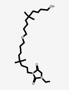 CCN1CC(=O)N(CCCC(C)(C)CCCCOCCCCC(C)(C)CCCCO)C1=O